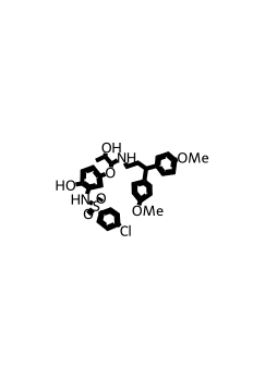 COc1ccc(C(CCNC(Oc2ccc(O)c(NS(=O)(=O)c3ccc(Cl)cc3)c2)C(C)O)c2ccc(OC)cc2)cc1